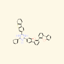 C1=CCCC(C2NC(c3ccc4c(c3)oc3c(-c5cccc6c5oc5ccccc56)cccc34)NC(c3ccc4c5c(sc4c3)CCC=C5)N2)=C1